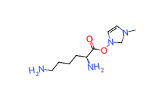 CN1C=CN(OC(=O)[C@@H](N)CCCCN)C1